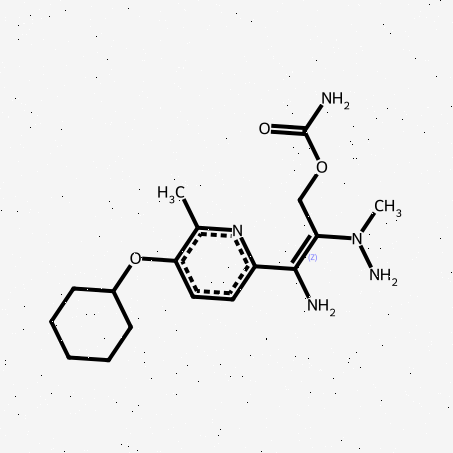 Cc1nc(/C(N)=C(\COC(N)=O)N(C)N)ccc1OC1CCCCC1